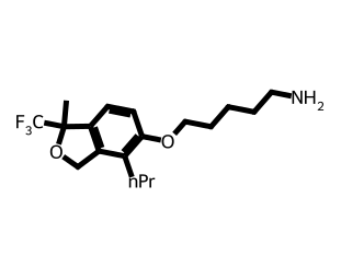 CCCc1c(OCCCCCN)ccc2c1COC2(C)C(F)(F)F